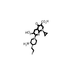 Cl.N[C@@H]1CN(c2nc3c(cc2F)c(=O)c(C(=O)O)cn3C2CC2)CC[C@H]1CCF